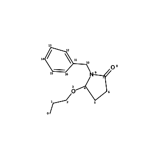 CCCOC1CCC(=O)N1Cc1ccccc1